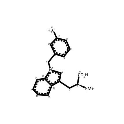 CN[C@@H](Cc1cn(Cc2cccc(C)c2)c2ccccc12)C(=O)O